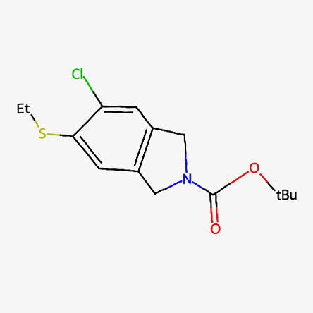 CCSc1cc2c(cc1Cl)CN(C(=O)OC(C)(C)C)C2